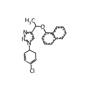 CC(Oc1cccc2ccccc12)c1cn(C2C=CC(Cl)=CC2)nn1